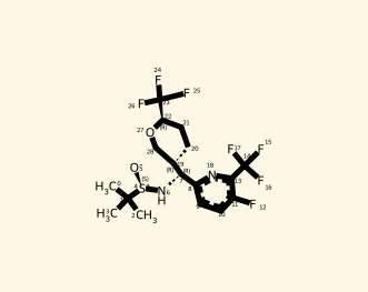 CC(C)(C)[S@@+]([O-])N[C@@H](c1ccc(F)c(C(F)(F)F)n1)[C@H]1CC[C@H](C(F)(F)F)OC1